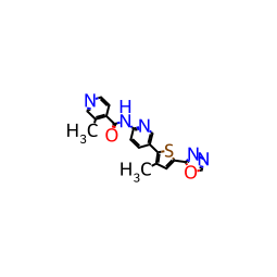 Cc1cnccc1C(=O)Nc1ccc(-c2sc(-c3nnco3)cc2C)cn1